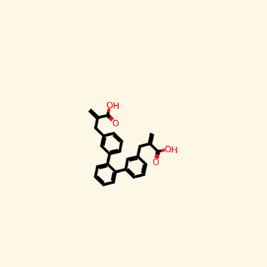 C=C(Cc1cccc(-c2ccccc2-c2cccc(CC(=C)C(=O)O)c2)c1)C(=O)O